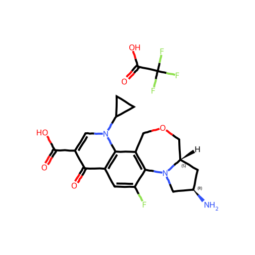 N[C@@H]1C[C@H]2COCc3c(c(F)cc4c(=O)c(C(=O)O)cn(C5CC5)c34)N2C1.O=C(O)C(F)(F)F